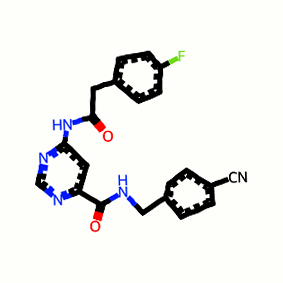 N#Cc1ccc(CNC(=O)c2cc(NC(=O)Cc3ccc(F)cc3)ncn2)cc1